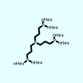 CCCCCCP(CCCCCC)CCCP(CCCP(CCCCCC)CCCCCC)CCCP(CCCCCC)CCCCCC